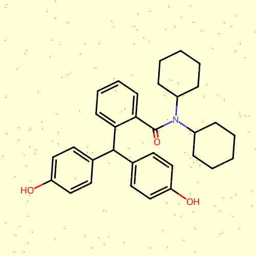 O=C(c1ccccc1C(c1ccc(O)cc1)c1ccc(O)cc1)N(C1CCCCC1)C1CCCCC1